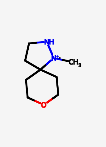 C[N+]1NCCC12CCOCC2